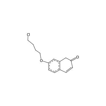 O=C1C=Cc2ccc(OCCCCCl)cc2C1